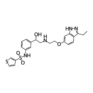 CCc1n[nH]c2cc(OCCNCC(O)c3cccc(NS(=O)(=O)c4ccsc4)c3)ccc12